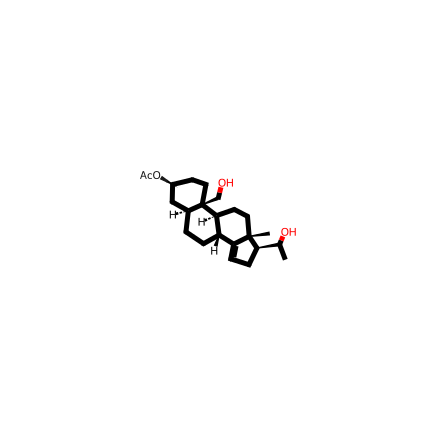 CC(=O)O[C@H]1CC[C@@]2(CO)[C@@H](CC[C@H]3C4=CC[C@H](C(C)O)[C@@]4(C)CC[C@@H]32)C1